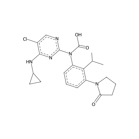 CC(C)c1c(N2CCCC2=O)cccc1N(C(=O)O)c1ncc(Cl)c(NC2CC2)n1